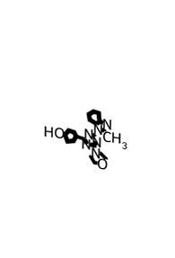 Cc1nc2ccccc2n1-c1nc(-c2ccc(O)cc2)nc(N2CCOCC2)n1